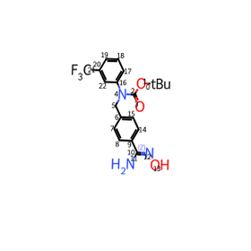 CC(C)(C)OC(=O)N(Cc1ccc(/C(N)=N/O)cc1)c1cccc(C(F)(F)F)c1